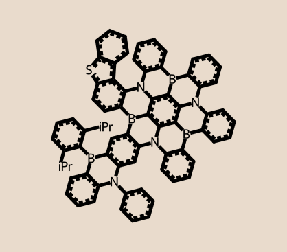 CC(C)c1cccc(C(C)C)c1B1c2ccccc2N(c2ccccc2)c2cc3c(cc21)B1c2ccc4sc5ccccc5c4c2N2c4ccccc4B4c5ccccc5N5c6ccccc6B6c7ccccc7N3c3c6c5c4c2c31